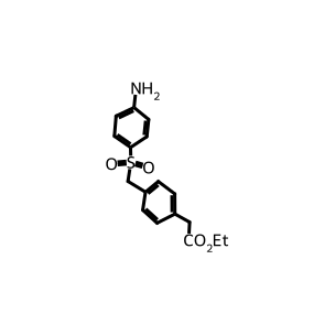 CCOC(=O)Cc1ccc(CS(=O)(=O)c2ccc(N)cc2)cc1